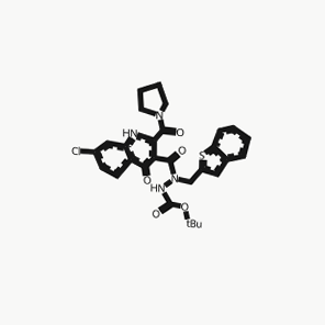 CC(C)(C)OC(=O)NN(Cc1cc2ccccc2s1)C(=O)c1c(C(=O)N2CCCC2)[nH]c2cc(Cl)ccc2c1=O